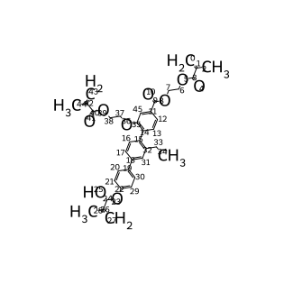 C=C(C)C(=O)OCCOC(=O)c1ccc(-c2ccc(-c3ccc(OC(O)C(=C)C)cc3)cc2CC)c(OCCOC(=O)C(=C)C)c1